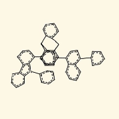 c1ccc(-c2ccc(-c3ccc(-c4cccc5c6ccccc6n(-c6ccccc6)c45)c4c3C3c5ccccc5C4c4ccccc43)c3ccccc23)cc1